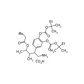 CCC(C)CC(=O)OC(C)C(C)C(c1ccc(OC(=O)OC(C)(C)CC)c(OC(=O)OC(C)(C)CC)c1)[C@H](N)C(=O)O